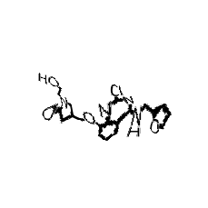 O=C1CC(COc2cccc3c(NCc4ccco4)nc(Cl)nc23)CN1CCO